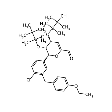 CCOc1ccc(Cc2cc([C@@H]3OC(C=O)=C[C@H](O[Si](C)(C)C(C)(C)C)[C@H]3O[Si](C)(C)C(C)(C)C)ccc2Cl)cc1